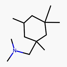 CC1CC(C)(C)CC(C)(CN(C)C)C1